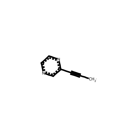 [CH2]C#Cc1cnccn1